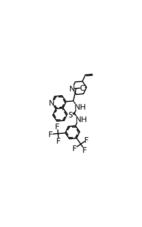 C=CC1CN2CCC1CC2[C@@H](NC(=S)Nc1cc(C(F)(F)F)cc(C(F)(F)F)c1)c1ccnc2ccccc12